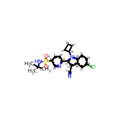 CC(C)(C)NS(=O)(=O)c1ccc(-c2c(C#N)c3cc(Cl)ccc3n2C2CCC2)nc1